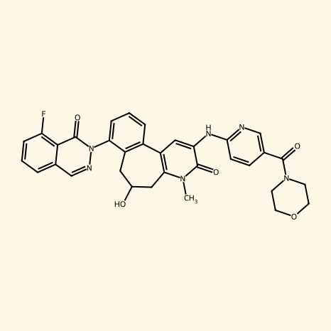 Cn1c2c(cc(Nc3ccc(C(=O)N4CCOCC4)cn3)c1=O)-c1cccc(-n3ncc4cccc(F)c4c3=O)c1CC(O)C2